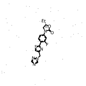 CC[C@H]1CN(c2ccc(-c3nc(Cn4cncn4)cs3)c(F)c2)C(=O)O1